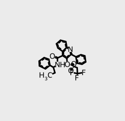 CCC(NC(=O)c1c(OS(=O)(=O)CC(F)(F)F)c(-c2ccccc2)nc2ccccc12)c1ccccc1